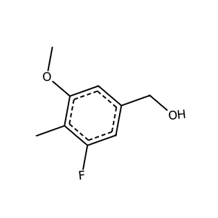 COc1cc(CO)cc(F)c1C